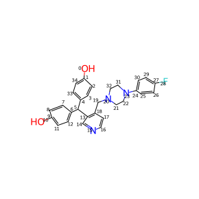 Oc1ccc(C(c2ccc(O)cc2)c2cnccc2CN2CCN(c3ccc(F)cc3)CC2)cc1